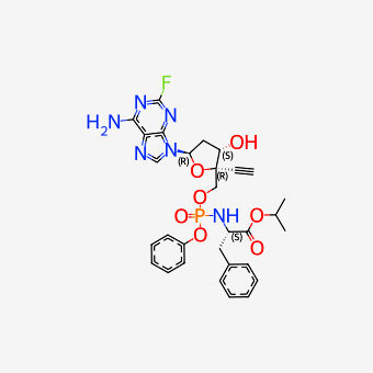 C#C[C@]1(COP(=O)(N[C@@H](Cc2ccccc2)C(=O)OC(C)C)Oc2ccccc2)O[C@@H](n2cnc3c(N)nc(F)nc32)C[C@@H]1O